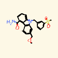 COCc1c[c]c2c3c(C(N)=O)cccc3n(Cc3cccc(S(C)(=O)=O)c3)c2c1